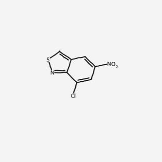 O=[N+]([O-])c1cc(Cl)c2ns[c]c2c1